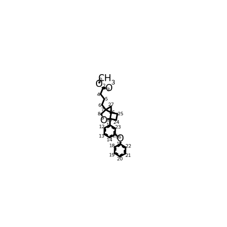 COC(=O)CCCC12COC3(c4cccc(Oc5ccccc5)c4)CCC13C2